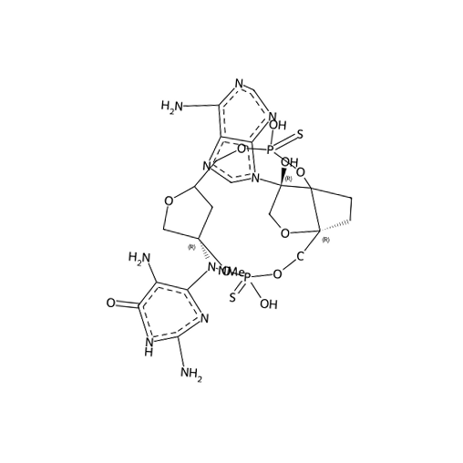 CNN(c1nc(N)[nH]c(=O)c1N)[C@@]12COC(COP(O)(=S)OC34CC[C@]3(COP(O)(=S)O1)OC[C@]4(O)n1cnc3c(N)ncnc31)C2